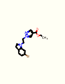 CCOC(=O)c1cnn(CCn2ccc3ccc(Br)cc32)c1